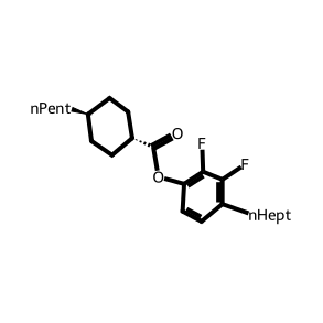 CCCCCCCc1ccc(OC(=O)[C@H]2CC[C@H](CCCCC)CC2)c(F)c1F